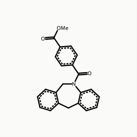 COC(=O)c1ccc(C(=O)N2Cc3ccccc3Cc3ccccc32)cc1